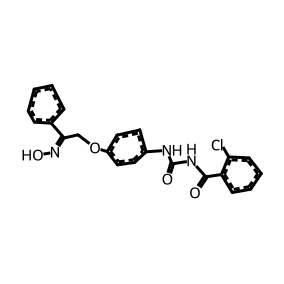 O=C(NC(=O)c1ccccc1Cl)Nc1ccc(OCC(=NO)c2ccccc2)cc1